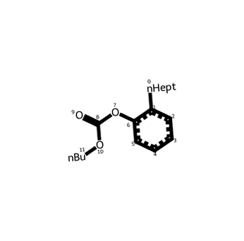 CCCCCCCc1ccccc1OC(=O)OCCCC